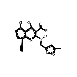 C#Cc1ccc(Cl)c2c(Cl)c(C(=O)C(C)C)c([S+]([O-])Cc3cc(C)on3)nc12